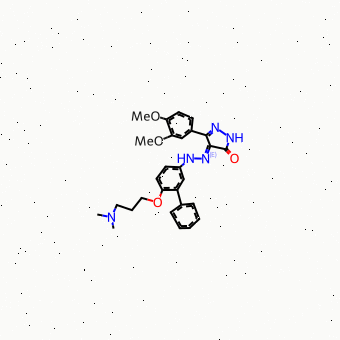 COc1ccc(C2=NNC(=O)/C2=N/Nc2ccc(OCCCN(C)C)c(-c3ccccc3)c2)cc1OC